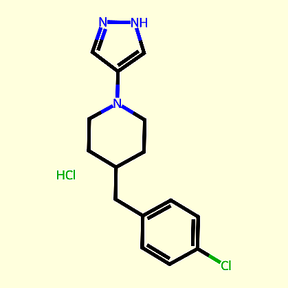 Cl.Clc1ccc(CC2CCN(c3cn[nH]c3)CC2)cc1